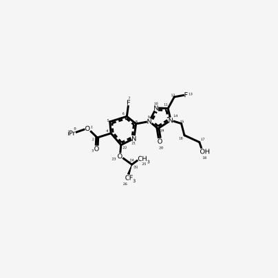 CC(C)OC(=O)c1cc(F)c(-n2nc(CF)n(CCCO)c2=O)nc1O[C@@H](C)C(F)(F)F